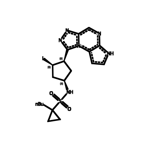 CCCCC1(S(=O)(=O)N[C@H]2C[C@@H](I)[C@@H](c3nnc4cnc5[nH]ccc5n34)C2)CC1